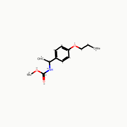 COCCOc1ccc(C(C=O)NC(=O)OC(C)(C)C)cc1